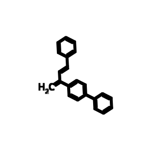 C=C(/C=C/c1ccccc1)c1ccc(-c2ccccc2)cc1